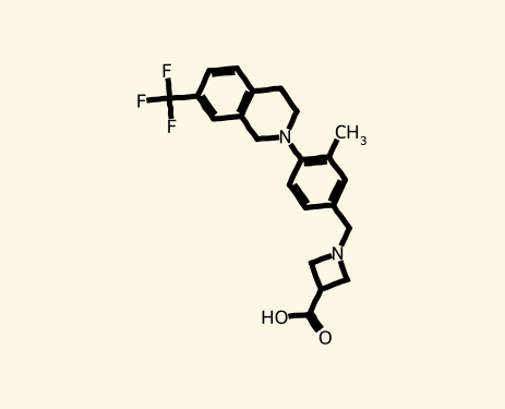 Cc1cc(CN2CC(C(=O)O)C2)ccc1N1CCc2ccc(C(F)(F)F)cc2C1